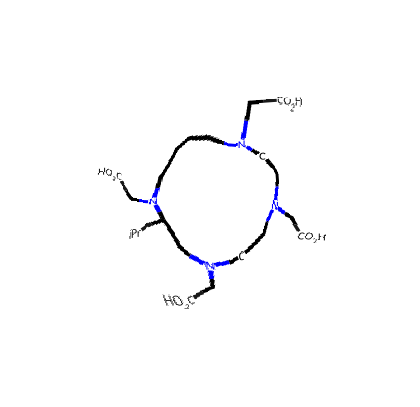 CC(C)C1CN(CC(=O)O)CCN(CC(=O)O)CCN(CC(=O)O)CCCN1CC(=O)O